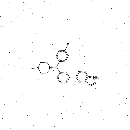 CN1CCN(C(c2ccc(F)cc2)c2cccc(-c3ccc4[nH]ccc4c3)c2)CC1